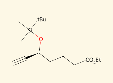 C#C[C@H](CCCC(=O)OCC)O[Si](C)(C)C(C)(C)C